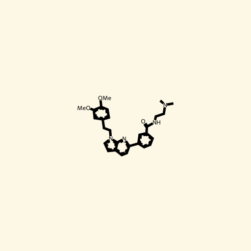 COc1ccc(CCn2ccc3ccc(-c4cccc(C(=O)NCCN(C)C)c4)nc32)cc1OC